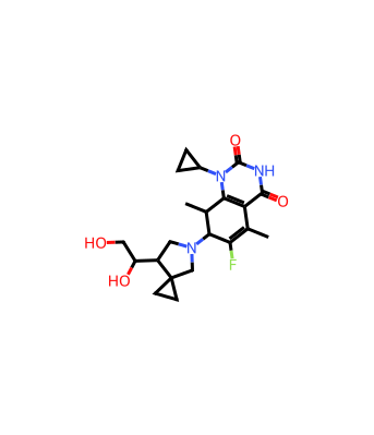 CC1=C(F)C(N2CC(C(O)CO)C3(CC3)C2)C(C)c2c1c(=O)[nH]c(=O)n2C1CC1